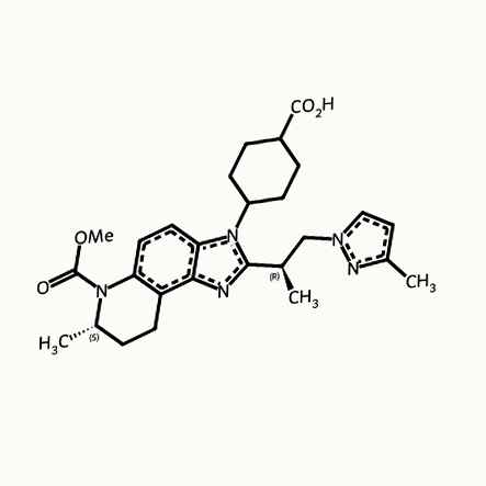 COC(=O)N1c2ccc3c(nc([C@H](C)Cn4ccc(C)n4)n3C3CCC(C(=O)O)CC3)c2CC[C@@H]1C